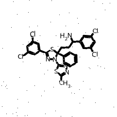 Cc1nnc(N2N=C(c3cc(Cl)cc(Cl)c3)SC2(CCC(N)c2cc(Cl)cc(Cl)c2)c2ccccc2)s1